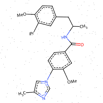 COc1ccc(CC(C)NC(=O)c2ccc(-n3cnc(C)c3)c(OC)c2)cc1C(C)C